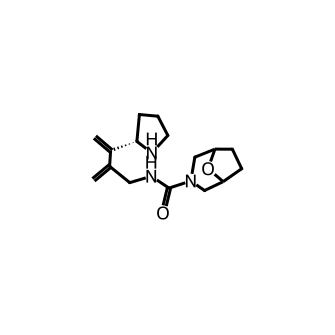 C=C(CNC(=O)N1CC2CCC(C1)O2)C(=C)[C@@H]1CCCN1